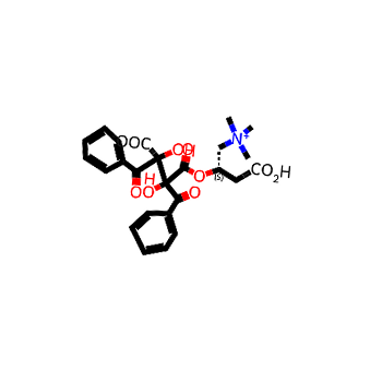 C[N+](C)(C)C[C@H](CC(=O)O)OC(=O)C(O)(C(=O)c1ccccc1)C(O)(C(=O)[O-])C(=O)c1ccccc1